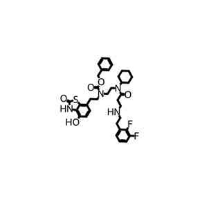 O=C(OCc1ccccc1)N(CCc1ccc(O)c2[nH]c(=O)sc12)CCN(C(=O)CCNCCc1cccc(F)c1F)C1CCCCC1